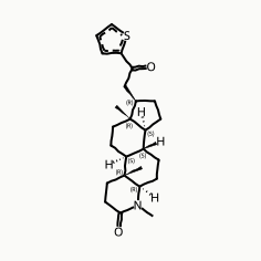 CN1C(=O)CC[C@]2(C)[C@H]3CC[C@]4(C)[C@@H](CC(=O)c5cccs5)CC[C@H]4[C@@H]3CC[C@@H]12